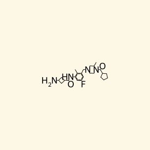 Cc1c(CN2CCN(C(=O)C3CCCC3)C(C)C2)cc(F)cc1NC(=O)C1CC(N)C1